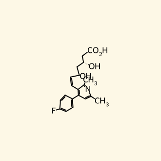 Cc1cc(-c2ccc(F)cc2)c(/C=C\[C@@H](O)C[C@@H](O)CC(=O)O)c(C)n1